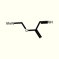 C=C(C=N)OCNC